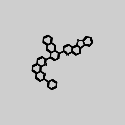 c1ccc(-c2ccc3ccc4ccc(-c5ccc(-c6ccc7c(ccc8c9ccccc9sc78)n6)c6cc7ccccc7cc56)nc4c3n2)cc1